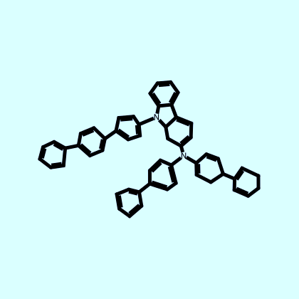 C1=CC(C2C=CC(N(C3=CC=C4c5ccccc5N(c5ccc(-c6ccc(-c7ccccc7)cc6)cc5)C4C3)c3ccc(-c4ccccc4)cc3)=CC2)=CCC1